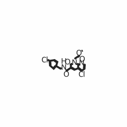 COC(=O)Cn1c(=O)c(C(=O)NCc2ccc(Cl)cc2)cc2c(Cl)ccnc21